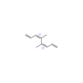 C=C/C=C(C)\C(C)=C/C=C